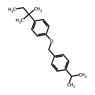 CCC(C)(C)c1ccc(OCc2ccc(C(C)C)cc2)cc1